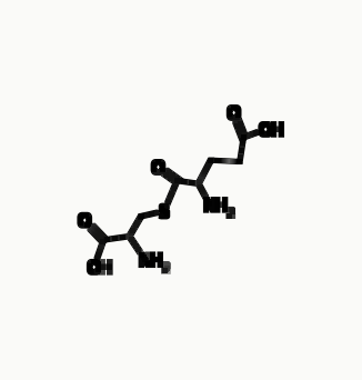 NC(CSC(=O)C(N)CCC(=O)O)C(=O)O